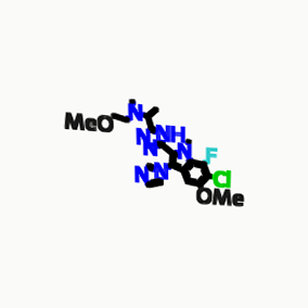 COCCN(C)C(C)c1nnc(-c2c(-n3ccnc3)c3cc(OC)c(Cl)c(F)c3n2C)[nH]1